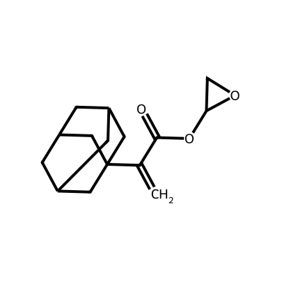 C=C(C(=O)OC1CO1)C12CC3CC(CC(C3)C1)C2